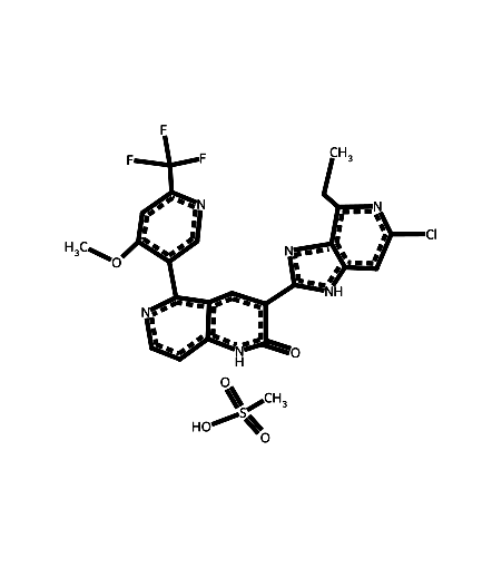 CCc1nc(Cl)cc2[nH]c(-c3cc4c(-c5cnc(C(F)(F)F)cc5OC)nccc4[nH]c3=O)nc12.CS(=O)(=O)O